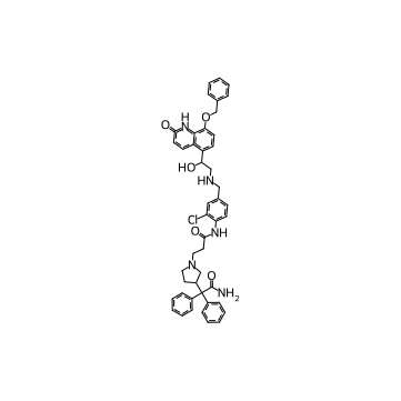 NC(=O)C(c1ccccc1)(c1ccccc1)C1CCN(CCC(=O)Nc2ccc(CNCC(O)c3ccc(OCc4ccccc4)c4[nH]c(=O)ccc34)cc2Cl)C1